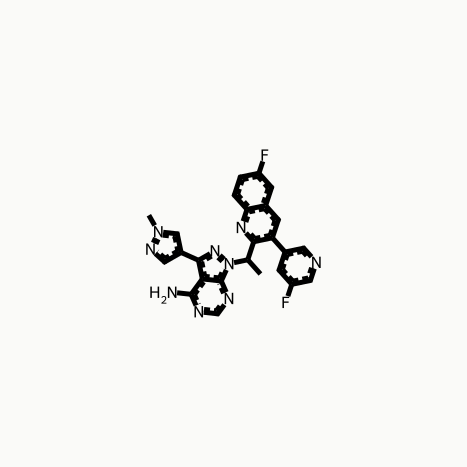 CC(c1nc2ccc(F)cc2cc1-c1cncc(F)c1)n1nc(-c2cnn(C)c2)c2c(N)ncnc21